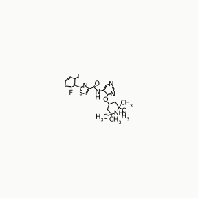 CC1(C)CC(Oc2ncncc2NC(=O)c2csc(-c3c(F)cccc3F)n2)CC(C)(C)N1